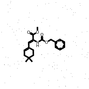 COC(=O)C(=CC1=CCC(C)(C)CC1)NC(=O)OCc1ccccc1